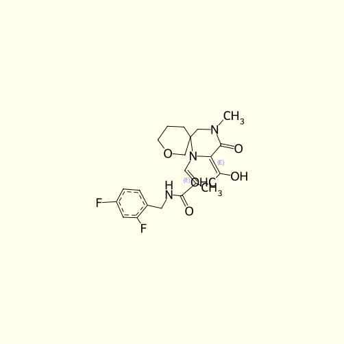 C/C(=C\N1/C(=C(/O)C=O)C(=O)N(C)CC12CCCOC2)C(=O)NCc1ccc(F)cc1F